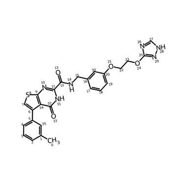 Cc1cccc(-c2csc3nc(C(=O)NCc4cccc(OCCOc5nc[nH]n5)c4)[nH]c(=O)c23)c1